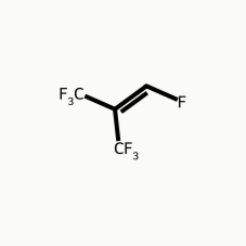 FC=C(C(F)(F)F)C(F)(F)F